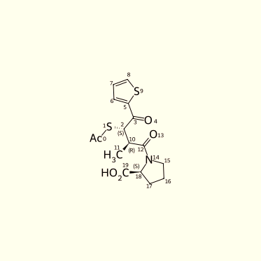 CC(=O)S[C@H](C(=O)c1cccs1)[C@H](C)C(=O)N1CCC[C@H]1C(=O)O